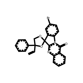 C=CC1(c2ccccc2)COC2(O1)c1cc(Br)ccc1-n1c2nc2ccccc2c1=O